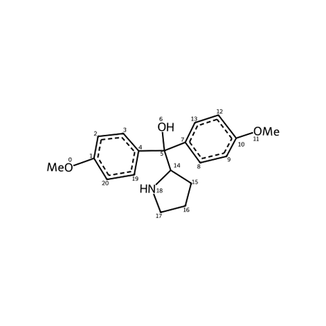 COc1ccc(C(O)(c2ccc(OC)cc2)C2CCCN2)cc1